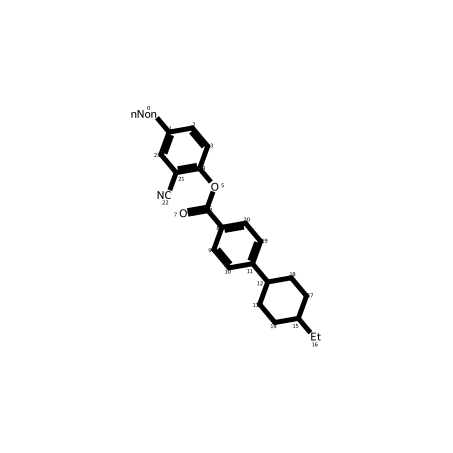 CCCCCCCCCc1ccc(OC(=O)c2ccc(C3CCC(CC)CC3)cc2)c(C#N)c1